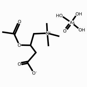 CC(=O)OC(CC(=O)[O-])C[N+](C)(C)C.O=[As](O)(O)O